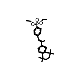 CCOP(=O)(OCC)c1ccc(/C=C(\C)c2ccc3c(c2)C(C)(C)CCC3(C)C)cc1